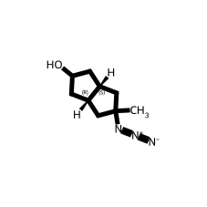 CC1(N=[N+]=[N-])C[C@H]2CC(O)C[C@H]2C1